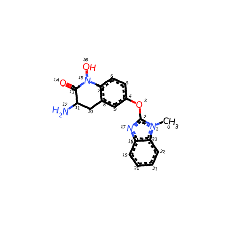 Cn1c(Oc2ccc3c(c2)CC(N)C(=O)N3O)nc2ccccc21